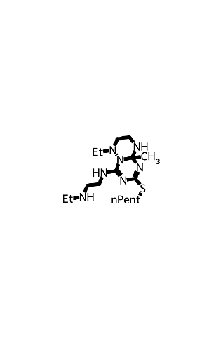 CCCCCSC1=NC2(C)NCCN(CC)N2C(NCCNCC)=N1